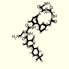 Cc1cc2cc(c1NC(=O)[C@H](CCN)NC(=O)c1c(C)nc(C3CCC(C(C)(C)C)CC3)nc1C)-c1cccc(c1)CC(=O)NCC(=O)NC(C(N)=O)C2